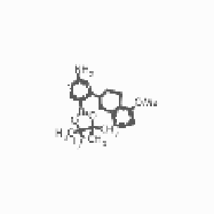 COc1cccc2c1CCC(c1nc(N)ncc1B1OC(C)(C)C(C)(C)O1)C2